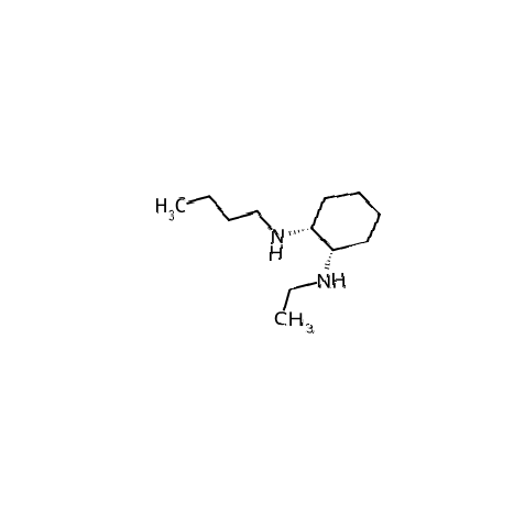 CCCCN[C@@H]1CCCC[C@@H]1NCC